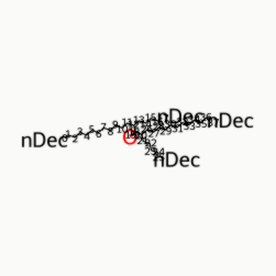 CCCCCCCCCCCCCCCCCCCCCC(CCCCCCCCCCCCCC)C(=O)C(CCCCCCCCCCCCCC)CCCCCCCCCCCCCCCCCCCCC